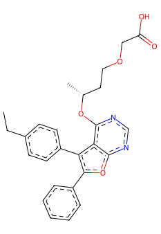 CCc1ccc(-c2c(-c3ccccc3)oc3ncnc(O[C@H](C)CCOCC(=O)O)c23)cc1